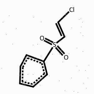 O=S(=O)(C=CCl)c1ccccc1